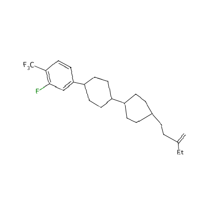 C=C(CC)CCC1CCC(C2CCC(c3ccc(C(F)(F)F)c(F)c3)CC2)CC1